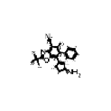 Cc1c(-c2ccccc2)c(C2=CC(N)CC2)c2oc(C(C)(C)C)nc2c1C#N